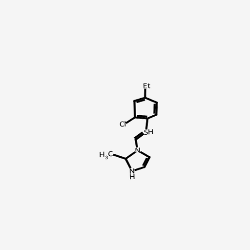 CCc1ccc([SH]=CN2C=CNC2C)c(Cl)c1